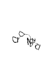 ClCc1nc(Cc2cccc(Cl)c2)no1